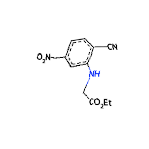 CCOC(=O)CNc1cc([N+](=O)[O-])ccc1C#N